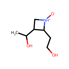 CC(O)C1C[NH+]([O-])C1CCO